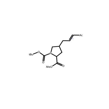 COC(=O)C1CC(C/C=C/C(C)=O)CN1C(=O)OC(C)(C)C